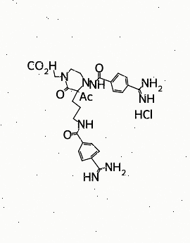 CC(=O)C1(CCCNC(=O)c2ccc(C(=N)N)cc2)C(=O)N(CC(=O)O)CCN1NC(=O)c1ccc(C(=N)N)cc1.Cl